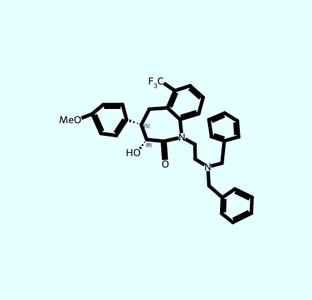 COc1ccc([C@@H]2Cc3c(cccc3C(F)(F)F)N(CCN(Cc3ccccc3)Cc3ccccc3)C(=O)[C@@H]2O)cc1